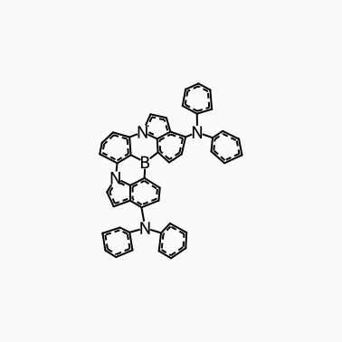 c1ccc(N(c2ccccc2)c2ccc3c4c2ccn4-c2cccc4c2B3c2ccc(N(c3ccccc3)c3ccccc3)c3ccn-4c23)cc1